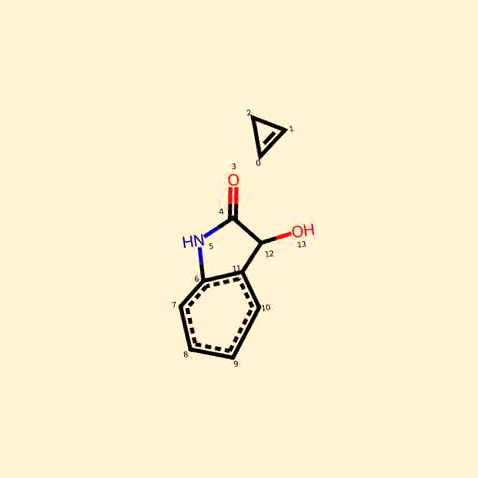 C1=CC1.O=C1Nc2ccccc2C1O